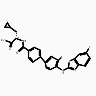 O=C(N[C@@H](CC1CC1)C(=O)O)c1ccc(-c2ccc(Nc3nc4ccc(F)cc4s3)c(F)c2)cc1